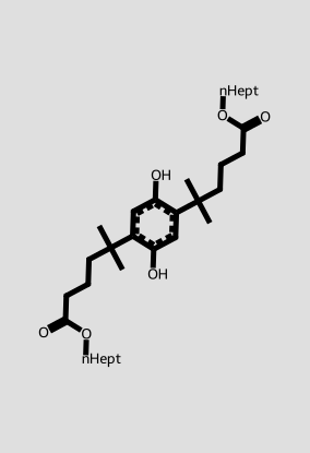 CCCCCCCOC(=O)CCCC(C)(C)c1cc(O)c(C(C)(C)CCCC(=O)OCCCCCCC)cc1O